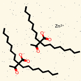 CCCCCCCCC(CCCCCCCC)(C(C)=O)C(=O)[O-].CCCCCCCCC(CCCCCCCC)(C(C)=O)C(=O)[O-].[Zn+2]